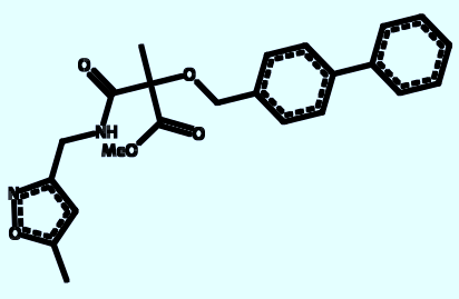 COC(=O)C(C)(OCc1ccc(-c2ccccc2)cc1)C(=O)NCc1cc(C)on1